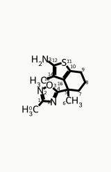 Cc1noc(C2(C)CCCc3sc(N)c(C)c32)n1